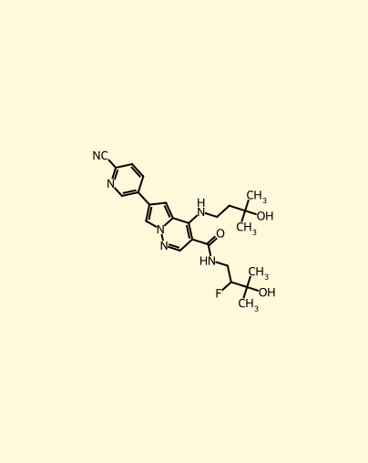 CC(C)(O)CCNc1c(C(=O)NCC(F)C(C)(C)O)cnn2cc(-c3ccc(C#N)nc3)cc12